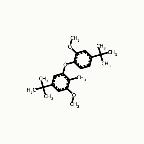 COc1cc(C(C)(C)C)ccc1Oc1cc(C(C)(C)C)cc(OC)c1C